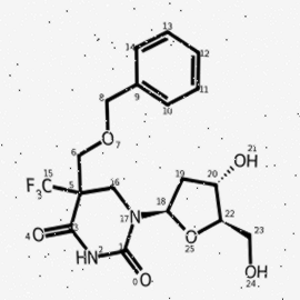 O=C1NC(=O)C(COCc2ccccc2)(C(F)(F)F)CN1[C@H]1C[C@H](O)[C@@H](CO)O1